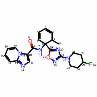 CC1C=CC=CC1(NC(=O)c1cnc2ccccn12)c1nc(N2CCC(F)CC2)no1